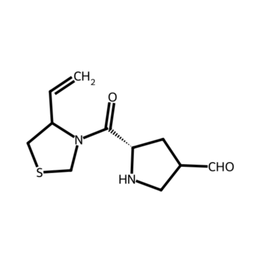 C=CC1CSCN1C(=O)[C@@H]1CC(C=O)CN1